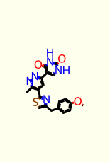 COc1ccc(Cc2csc(-c3cc(-c4c[nH]c(=O)[nH]c4=O)nnc3C)n2)cc1